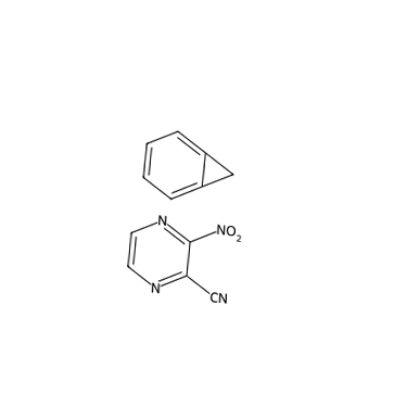 N#Cc1nccnc1[N+](=O)[O-].c1ccc2c(c1)C2